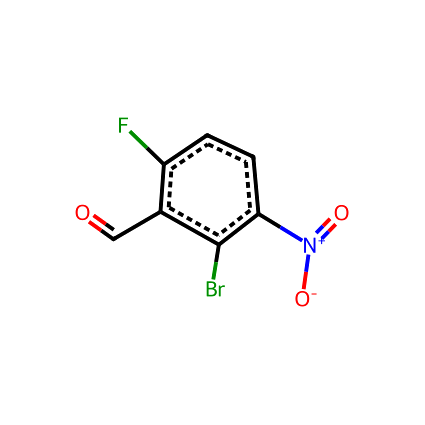 O=Cc1c(F)ccc([N+](=O)[O-])c1Br